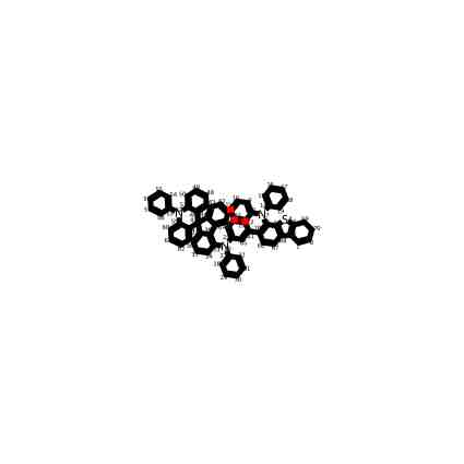 C1=Cc2c(sc3c(N(c4ccccc4)c4ccccc4)c(-c4cccc(N(c5ccccc5)c5cccc6c5-c5ccccc5C65c6ccccc6N(c6ccccc6)c6ccccc65)c4)ccc23)CC1